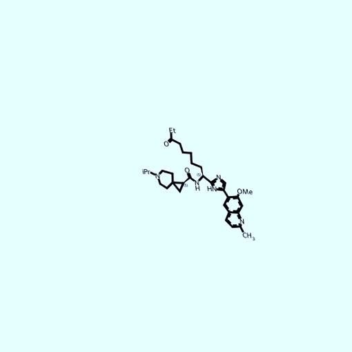 CCC(=O)CCCCC[C@H](NC(=O)[C@H]1CC12CCN(C(C)C)CC2)c1ncc(-c2cc3ccc(C)nc3cc2OC)[nH]1